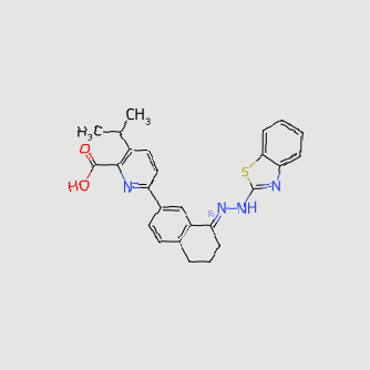 CC(C)c1ccc(-c2ccc3c(c2)/C(=N/Nc2nc4ccccc4s2)CCC3)nc1C(=O)O